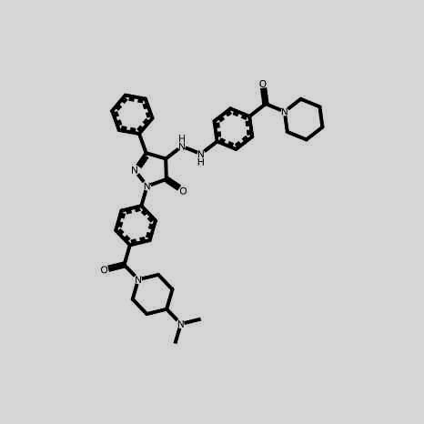 CN(C)C1CCN(C(=O)c2ccc(N3N=C(c4ccccc4)C(NNc4ccc(C(=O)N5CCCCC5)cc4)C3=O)cc2)CC1